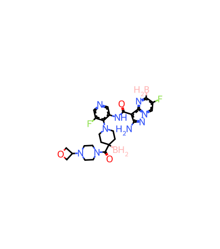 Bc1nc2c(C(=O)Nc3cncc(F)c3N3CCC(B)(C(=O)N4CCN(C5COC5)CC4)CC3)c(N)nn2cc1F